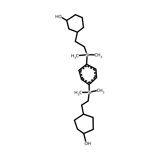 C[Si](C)(CCC1CCC(O)CC1)c1ccc([Si](C)(C)CCC2CCCC(O)C2)cc1